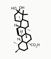 C[C@@H]1[C@H]2[C@H]3C=C[C@@H]4[C@@]5(C)CCC(O)(O)C(C)(C)C5CC[C@@]4(C)[C@]3(C)CC[C@@]2(C(=O)O)CC[C@H]1C